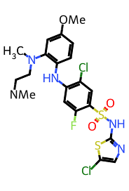 CNCCN(C)c1cc(OC)ccc1Nc1cc(F)c(S(=O)(=O)Nc2ncc(Cl)s2)cc1Cl